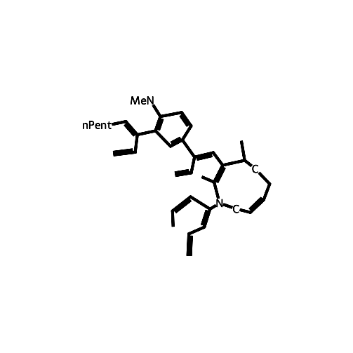 C=C/C=C(\C=C/C)N1C/C=C\CCC(C)C(/C=C(\C=C)c2ccc(NC)c(/C(C=C)=C/CCCCC)c2)=C\1C